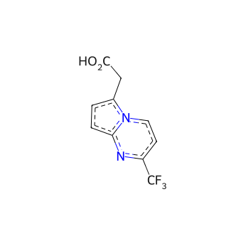 O=C(O)Cc1ccc2nc(C(F)(F)F)ccn12